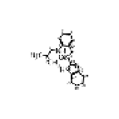 CC(C)CNc1ccccc1C[S+]([O-])c1nc2c([nH]1)CCCC2